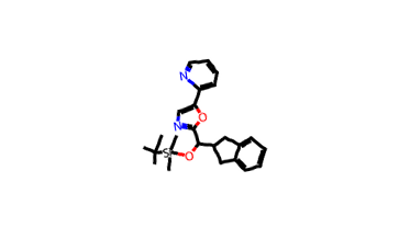 CC(C)(C)[Si](C)(C)OC(c1ncc(-c2ccccn2)o1)C1Cc2ccccc2C1